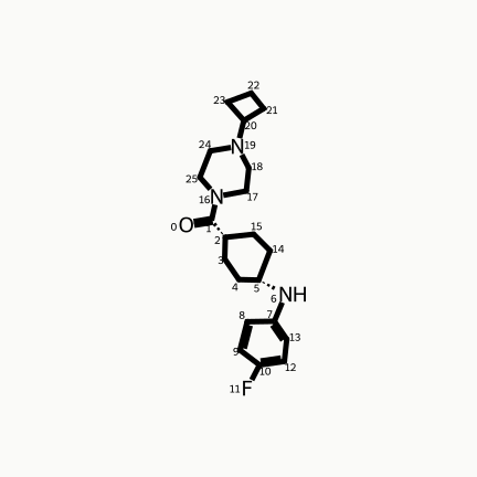 O=C([C@H]1CC[C@@H](Nc2ccc(F)cc2)CC1)N1CCN(C2CCC2)CC1